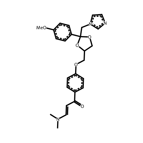 COc1ccc(C2(Cn3ccnc3)OCC(COc3ccc(C(=O)/C=C/N(C)C)cc3)O2)cc1